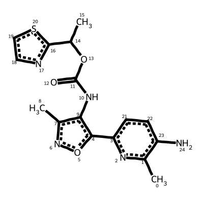 Cc1nc(-c2onc(C)c2NC(=O)OC(C)c2nccs2)ccc1N